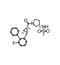 CS(=O)(=O)N[C@H]1CCN(C(=O)[C@H]2C[C@@H]2c2ccccc2-c2c(F)cccc2F)C1